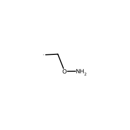 [CH2]CON